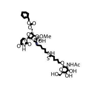 COP(=O)(O)OC1[C@@H](COC(=O)OCc2ccccc2)O[C@@H](n2ccc(=O)[nH]c2=O)[C@H]1C/C=C/CCCCNC(=S)CCCCO[C@@H]1O[C@H](CO)[C@H](O)[C@H](O)[C@H]1NC(C)=O